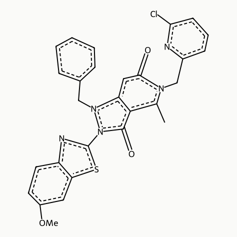 COc1ccc2nc(-n3c(=O)c4c(C)n(Cc5cccc(Cl)n5)c(=O)cc4n3Cc3ccccc3)sc2c1